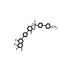 Cc1ccc(-c2ccc(C(F)(F)Oc3ccc(-c4ccc(-c5cc(F)c6c(F)c(F)c(F)cc6c5)cc4)c(F)c3F)cc2)cc1